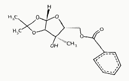 CC1(C)OC2[C@@H](O[C@H](COC(=O)c3ccccc3)[C@@]2(C)O)O1